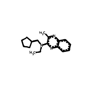 CCN(CC1CCCC1)c1nc2ccccc2nc1C